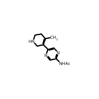 CC(=O)Nc1cnc(C2=C(C)CCNC2)cn1